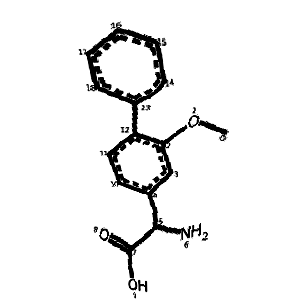 COc1cc(C(N)C(=O)O)ccc1-c1ccccc1